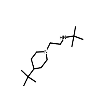 CC(C)(C)NCCN1CCC(C(C)(C)C)CC1